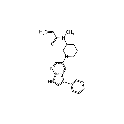 C=CC(=O)N(C)C1CCCN(c2cnc3[nH]cc(-c4cccnc4)c3c2)C1